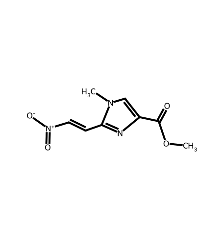 COC(=O)c1cn(C)c(C=C[N+](=O)[O-])n1